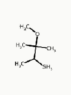 [CH2]OC(C)(C)C(C)[SiH3]